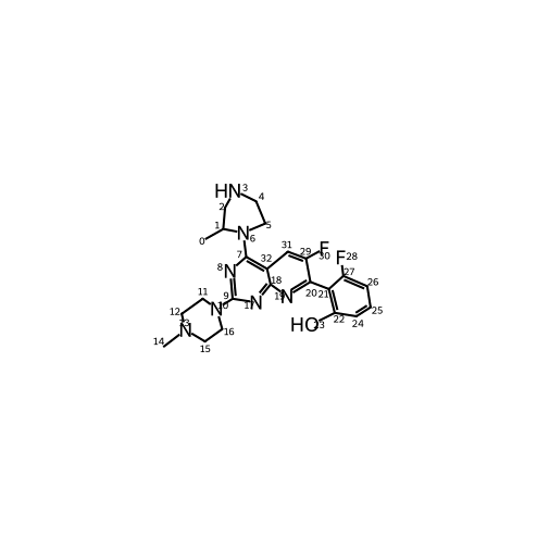 CC1CNCCN1c1nc(N2CCN(C)CC2)nc2nc(-c3c(O)cccc3F)c(F)cc12